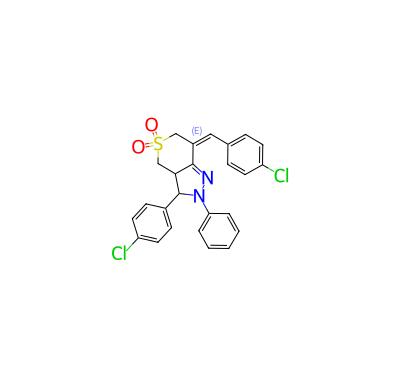 O=S1(=O)C/C(=C/c2ccc(Cl)cc2)C2=NN(c3ccccc3)C(c3ccc(Cl)cc3)C2C1